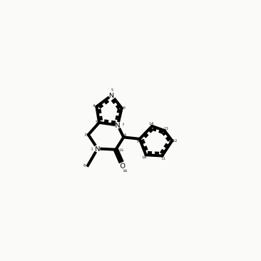 CN1Cc2cncn2C(c2ccccc2)C1=O